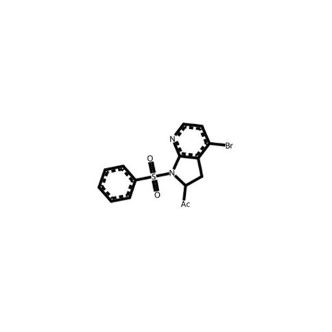 CC(=O)C1Cc2c(Br)ccnc2N1S(=O)(=O)c1ccccc1